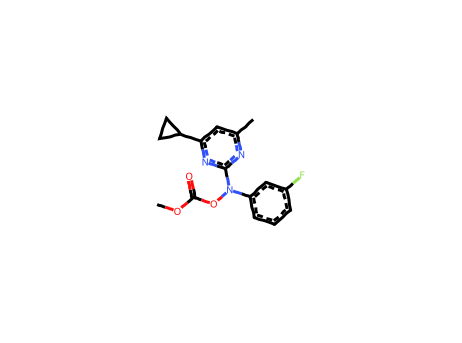 COC(=O)ON(c1cccc(F)c1)c1nc(C)cc(C2CC2)n1